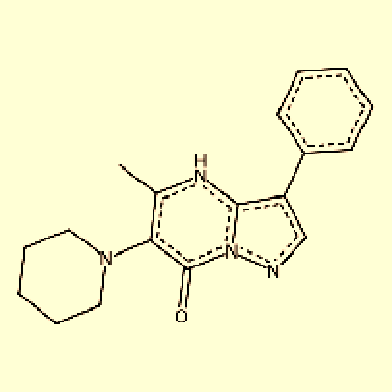 Cc1[nH]c2c(-c3ccccc3)cnn2c(=O)c1N1CCCCC1